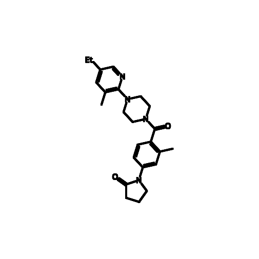 CCc1cnc(N2CCN(C(=O)c3ccc(N4CCCC4=O)cc3C)CC2)c(C)c1